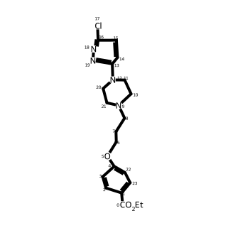 CCOC(=O)c1ccc(OCCCN2CCN(c3ccc(Cl)nn3)CC2)cc1